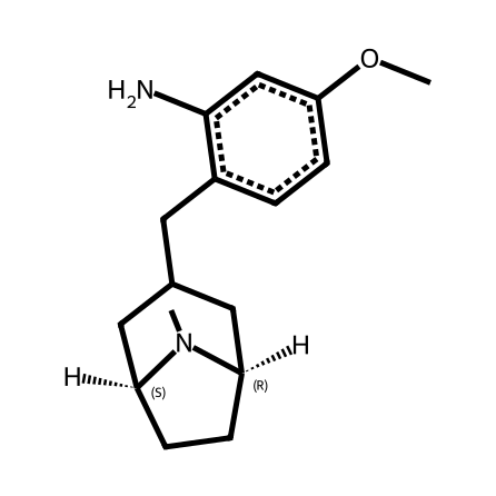 COc1ccc(CC2C[C@H]3CC[C@@H](C2)N3C)c(N)c1